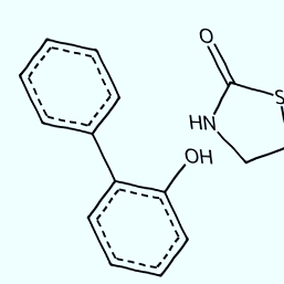 O=C1NCCS1.Oc1ccccc1-c1ccccc1